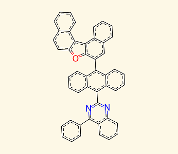 c1ccc(-c2nc(-c3c4ccccc4c(-c4cc5ccccc5c5c4oc4ccc6ccccc6c45)c4ccccc34)nc3ccccc23)cc1